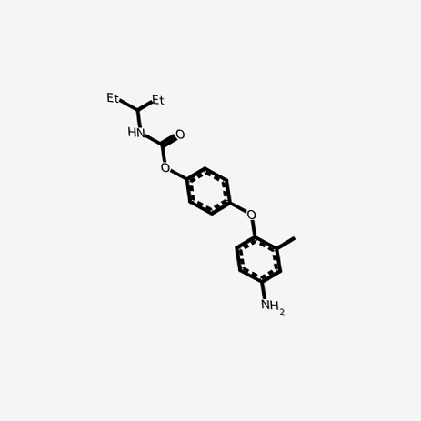 CCC(CC)NC(=O)Oc1ccc(Oc2ccc(N)cc2C)cc1